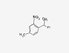 CCC(O)c1ccc(C)cc1[N+](=O)[O-]